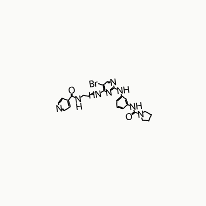 O=C(NCCCNc1nc(Nc2cccc(NC(=O)N3CCCC3)c2)ncc1Br)c1ccncc1